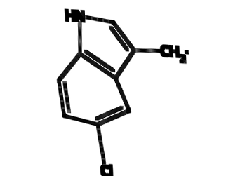 [CH2]c1c[nH]c2ccc(Cl)cc12